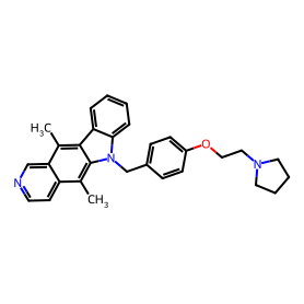 Cc1c2cnccc2c(C)c2c1c1ccccc1n2Cc1ccc(OCCN2CCCC2)cc1